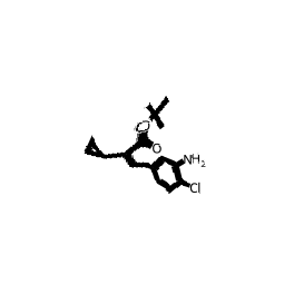 CC(C)(C)OC(=O)C(Cc1ccc(Cl)c(N)c1)C1CC1